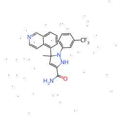 CC1(c2cccc3cnccc23)C=C(C(N)=O)NN1c1cccc(C(F)(F)F)c1